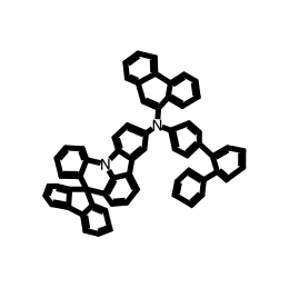 c1ccc(-c2ccccc2-c2ccc(N(c3ccc4c(c3)c3cccc5c3n4-c3ccccc3C53c4ccccc4-c4ccccc43)c3cc4ccccc4c4ccccc34)cc2)cc1